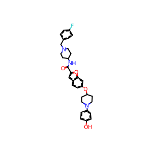 O=C(NC1CCN(Cc2ccc(F)cc2)CC1)c1cc2ccc(OC3CCN(c4ccc(O)cc4)CC3)cc2o1